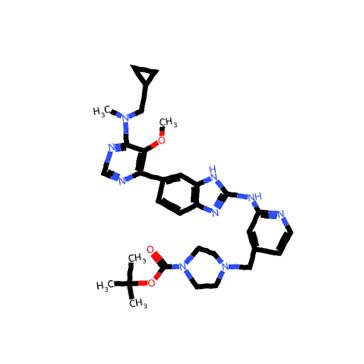 COc1c(-c2ccc3nc(Nc4cc(CN5CCN(C(=O)OC(C)(C)C)CC5)ccn4)[nH]c3c2)ncnc1N(C)CC1CC1